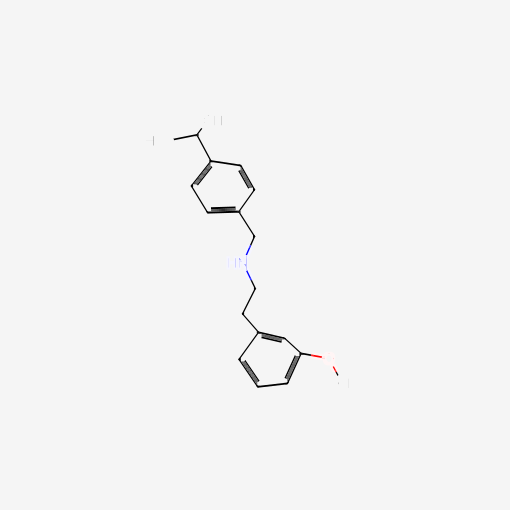 COc1cccc(CCNCc2ccc(C(C)C)cc2)c1